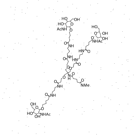 CNC(=O)CCCC(=O)NC(COCCC(=O)NCCCNC(=O)CCCCO[C@@H]1OC(CO)[C@H](O)C(O)[C@@H]1NC(C)=O)(COCCC(=O)NCCCNC(=O)CCCCO[C@@H]1OC(CO)[C@H](O)C(O)[C@@H]1NC(C)=O)COCCC(=O)NCCCNC(=O)CCCCO[C@@H]1OC(CO)[C@H](O)C(O)[C@@H]1NC(C)=O